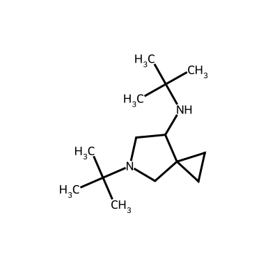 CC(C)(C)NC1CN(C(C)(C)C)CC12CC2